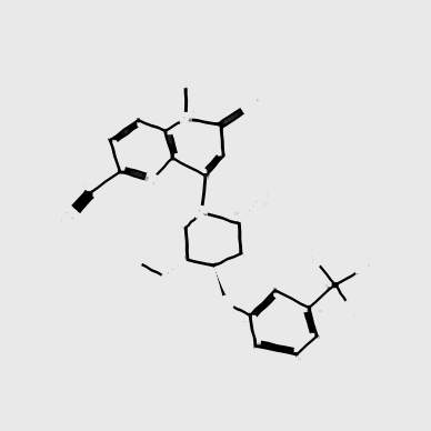 CC[C@@H]1CN(c2cc(=O)n(C)c3ccc(C#N)nc23)[C@H](C)C[C@H]1Oc1cccc(C(F)(F)F)c1